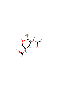 CC(=O)O[C@@H]1CO[C@H](Br)[C@H](OC(C)=O)C1